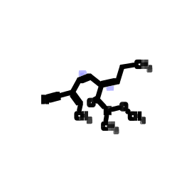 CC=C(C#N)/C=C\C(=C/CC)C(=O)N(C)OC